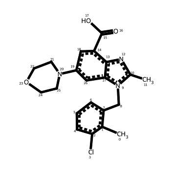 Cc1c(Cl)cccc1Cn1c(C)nc2c(C(=O)O)cc(N3CCOCC3)cc21